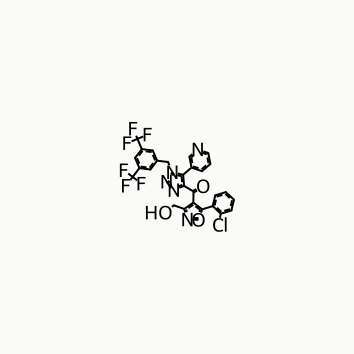 O=C(c1nnn(Cc2cc(C(F)(F)F)cc(C(F)(F)F)c2)c1-c1cccnc1)c1c(CO)noc1-c1ccccc1Cl